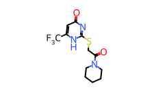 O=C(CSc1nc(=O)cc(C(F)(F)F)[nH]1)N1CCCCC1